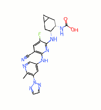 Cc1ncc(Nc2nc(N[C@@H]3CC4CC4C[C@@H]3NC(=O)O)c(F)cc2C#N)cc1-n1nccn1